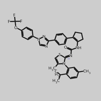 Cc1ccc(C(C)C)c(-n2c(C)cs/c2=N\C(=O)NC2=C(c3ccc(-c4ncn(-c5ccc(OC(F)(F)F)cc5)n4)cc3)CCC2)c1